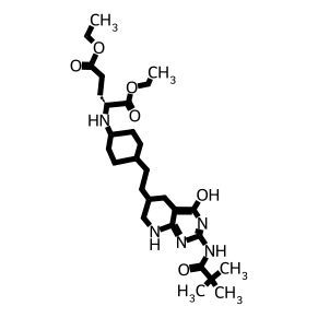 CCOC(=O)CC[C@@H](NC1CCC(CCC2CNc3nc(NC(=O)C(C)(C)C)nc(O)c3C2)CC1)C(=O)OCC